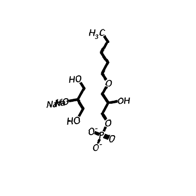 CCCCCOCC(O)COP(=O)([O-])[O-].OCC(O)CO.[Na+].[Na+]